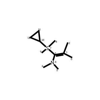 CC(C)=C(N(C)C)S(C)(C)C1CC1